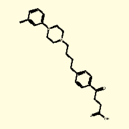 Cc1cccc(N2CCN(CCCCc3ccc(C(=O)CCC(=O)O)cc3)CC2)c1